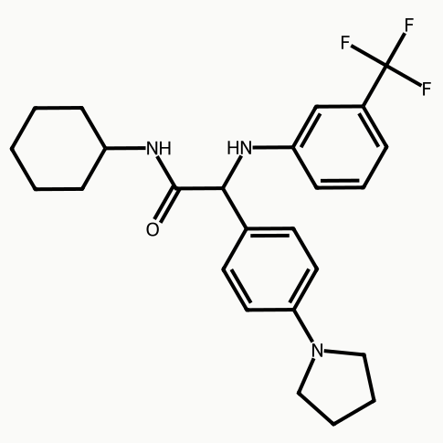 O=C(NC1CCCCC1)C(Nc1cccc(C(F)(F)F)c1)c1ccc(N2CCCC2)cc1